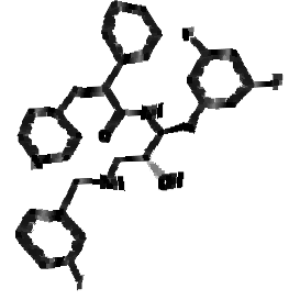 O=C(N[C@@H](Cc1cc(F)cc(F)c1)[C@H](O)CNCc1cccc(I)c1)/C(=C\c1ccncc1)c1ccccc1